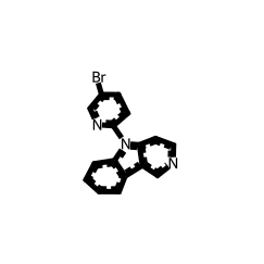 Brc1ccc(-n2c3ccccc3c3cnccc32)nc1